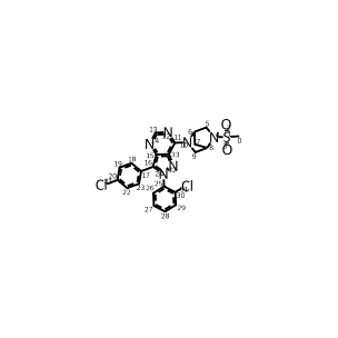 CS(=O)(=O)N1CC2CC1CN2c1ncnc2c(-c3ccc(Cl)cc3)n(-c3ccccc3Cl)nc12